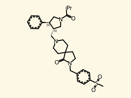 CC(C)C(=O)N1C[C@H](CN2CCC3(CC2)CCN(Cc2ccc(S(C)(=O)=O)cc2)C3=O)[C@@H](c2ccccc2)C1